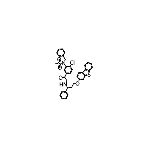 CS(=O)(=O)N(Cc1ccccc1)c1cc(C(=O)CNC(CCOc2ccc3c(c2)sc2ccccc23)c2ccccc2)ccc1Cl